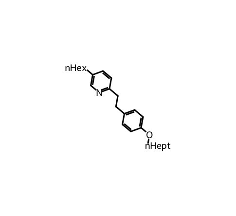 CCCCCCCOc1ccc(CCc2ccc(CCCCCC)cn2)cc1